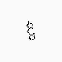 c1csc(Cc2cncs2)c1